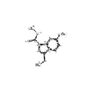 CCCCCCCCc1ccc2c(CO)cn(C(=O)OC(C)(C)C)c2c1